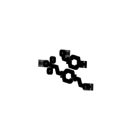 O=S(=O)(O)CCN1CCN(CCO)CC1.OCN1CCNCC1